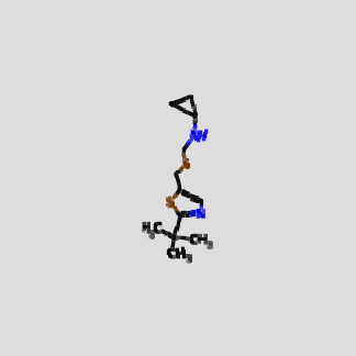 CC(C)(C)c1ncc(CSCNC2CC2)s1